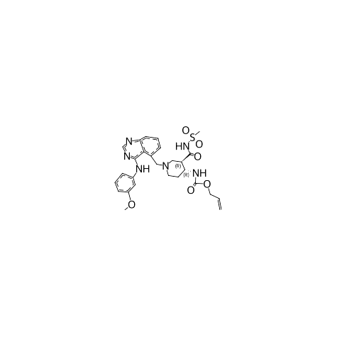 C=CCOC(=O)N[C@@H]1CCN(Cc2cccc3ncnc(Nc4cccc(OC)c4)c23)C[C@H]1C(=O)NS(C)(=O)=O